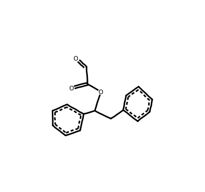 O=CC(=O)OC(Cc1ccccc1)c1ccccc1